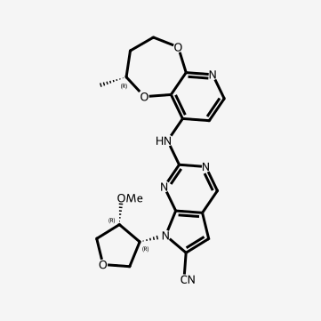 CO[C@H]1COC[C@H]1n1c(C#N)cc2cnc(Nc3ccnc4c3O[C@H](C)CCO4)nc21